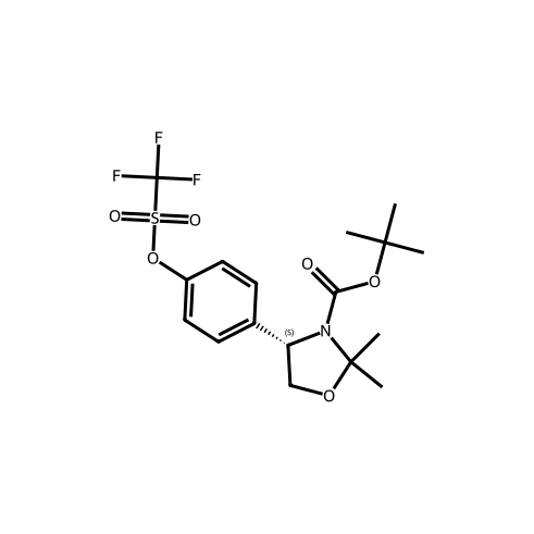 CC(C)(C)OC(=O)N1[C@@H](c2ccc(OS(=O)(=O)C(F)(F)F)cc2)COC1(C)C